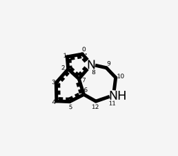 [c]1cc2cccc3c2n1CCNC3